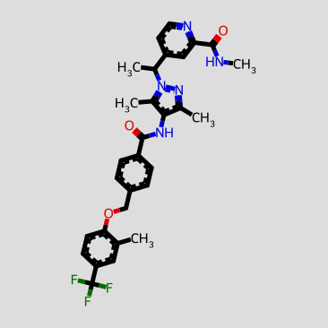 CNC(=O)c1cc(C(C)n2nc(C)c(NC(=O)c3ccc(COc4ccc(C(F)(F)F)cc4C)cc3)c2C)ccn1